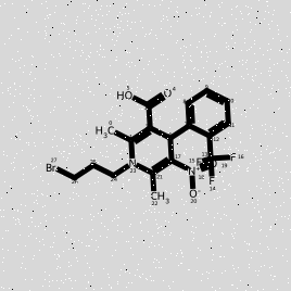 CC1=C(C(=O)O)C(c2ccccc2C(F)(F)F)C([N+](=O)[O-])=C(C)N1CCCBr